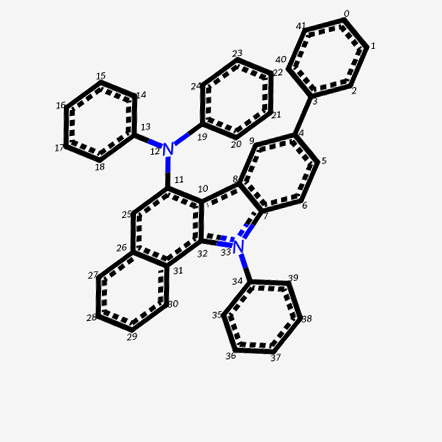 c1ccc(-c2ccc3c(c2)c2c(N(c4ccccc4)c4ccccc4)cc4ccccc4c2n3-c2ccccc2)cc1